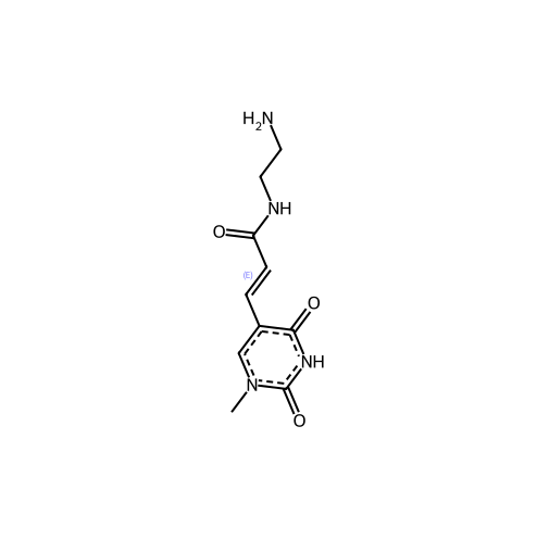 Cn1cc(/C=C/C(=O)NCCN)c(=O)[nH]c1=O